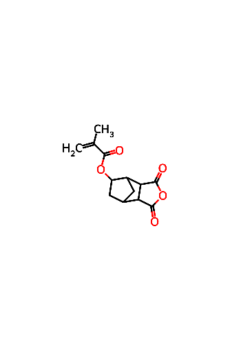 C=C(C)C(=O)OC1CC2CC1C1C(=O)OC(=O)C21